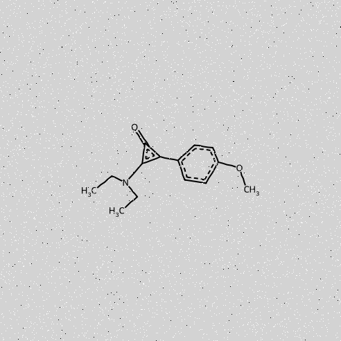 CCN(CC)c1c(-c2ccc(OC)cc2)c1=O